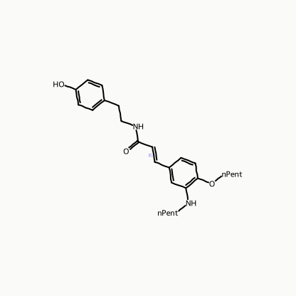 CCCCCNc1cc(/C=C/C(=O)NCCc2ccc(O)cc2)ccc1OCCCCC